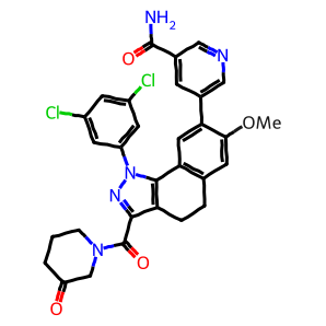 COc1cc2c(cc1-c1cncc(C(N)=O)c1)-c1c(c(C(=O)N3CCCC(=O)C3)nn1-c1cc(Cl)cc(Cl)c1)CC2